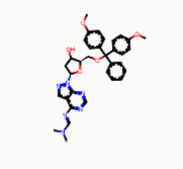 COc1ccc(C(OC[C@H]2O[C@@H](n3ncc4c(/N=C/N(C)C)ncnc43)CC2O)(c2ccccc2)c2ccc(OC)cc2)cc1